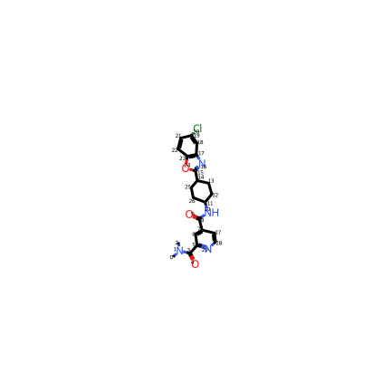 CN(C)C(=O)c1cc(C(=O)NC2CCC(c3nc4cc(Cl)ccc4o3)CC2)ccn1